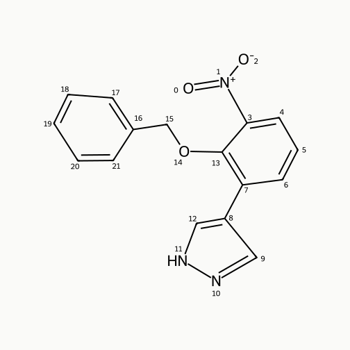 O=[N+]([O-])c1cccc(-c2cn[nH]c2)c1OCc1ccccc1